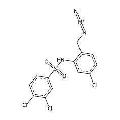 [N-]=[N+]=NCc1ccc(Cl)cc1NS(=O)(=O)c1ccc(Cl)c(Cl)c1